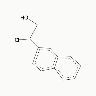 OCC(Cl)c1ccc2ccccc2c1